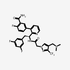 CN(C)Cc1cn(CC(=O)N[C@@H](Cc2cc(F)cc(F)c2)c2ncccc2-c2ccc(F)c(C(N)=O)c2)nc1C(F)(F)F